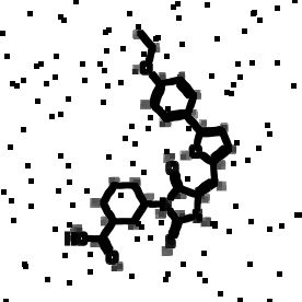 CCOc1ccc(-c2ccc(C=C3SC(=S)N(C4CCCC(C(=O)O)C4)C3=O)o2)cc1